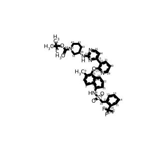 Cc1ccc2c(NS(=O)(=O)Cc3ccccc3C(F)(F)F)cccc2c1Oc1ncccc1-c1ccnc(N[C@H]2CCCN(C(=O)OC(C)(C)C)C2)n1